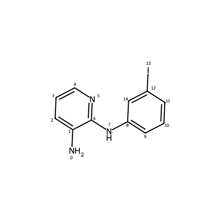 Nc1cccnc1Nc1cccc(I)c1